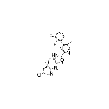 Cc1cnc(C(=O)N[C@H]2COc3cc(Cl)cnc3N(C)C2=O)nc1-c1cccc(F)c1F